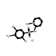 CC[n+]1ccccc1NS(=O)(=O)c1cc(Cl)c(N)cc1Cl.[Cl-]